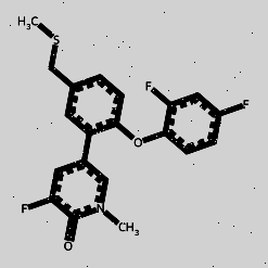 CSCc1ccc(Oc2ccc(F)cc2F)c(-c2cc(F)c(=O)n(C)c2)c1